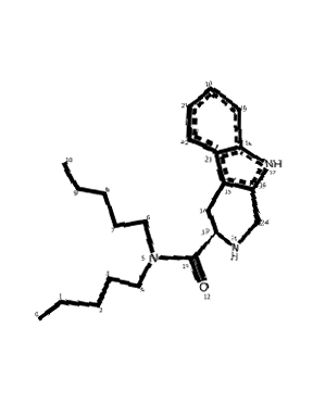 CCCCCN(CCCCC)C(=O)[C@H]1Cc2c([nH]c3ccccc23)CN1